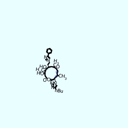 CCCCc1cn(C[C@H]2/C=C(C)/C=C/C(=O)[C@H](C)C[C@H](CCn3cnc(-c4ccccc4)c3)[C@H](O)[C@@H](C)[C@H](O)CC(=O)O[C@@H]2CC)nn1